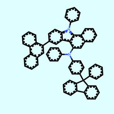 c1ccc(N(c2ccc(C3(c4ccccc4)c4ccccc4-c4ccccc43)cc2)c2cc3ccccc3c3c2c2cc(-c4cc5ccccc5c5ccccc45)ccc2n3-c2ccccc2)cc1